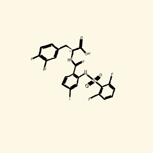 O=C(N[C@@H](Cc1ccc(F)c(Br)c1)C(=O)O)c1ccc(I)cc1NS(=O)(=O)c1c(F)cccc1F